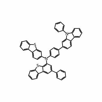 c1ccc(-c2cc(N(c3ccc(-c4ccc5c6ccccc6n(-c6ccccc6)c5c4)cc3)c3ccc4c(c3)sc3ccccc34)c3sc4ccccc4c3c2)cc1